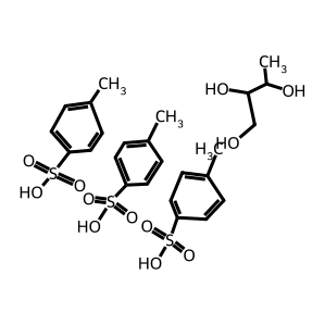 CC(O)C(O)CO.Cc1ccc(S(=O)(=O)O)cc1.Cc1ccc(S(=O)(=O)O)cc1.Cc1ccc(S(=O)(=O)O)cc1